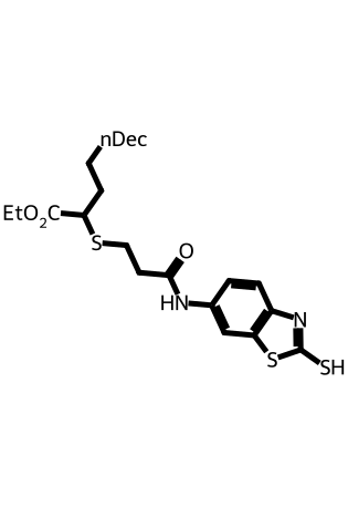 CCCCCCCCCCCCC(SCCC(=O)Nc1ccc2nc(S)sc2c1)C(=O)OCC